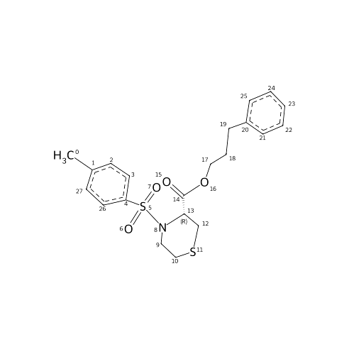 Cc1ccc(S(=O)(=O)N2CCSC[C@H]2C(=O)OCCCc2ccccc2)cc1